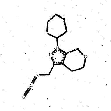 [N-]=[N+]=NCc1nn(C2CCCCO2)c2c1CCOC2